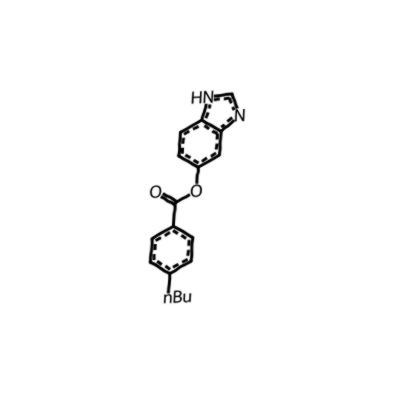 CCCCc1ccc(C(=O)Oc2ccc3[nH]cnc3c2)cc1